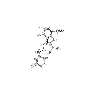 COc1cc(F)c(F)c2c1nc(C(F)F)n2CCNc1cc(Cl)ncn1